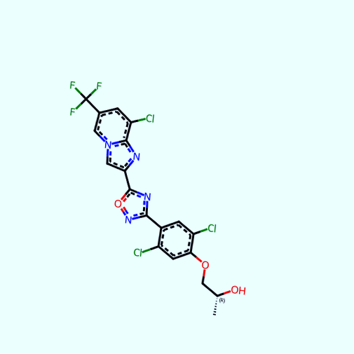 C[C@@H](O)COc1cc(Cl)c(-c2noc(-c3cn4cc(C(F)(F)F)cc(Cl)c4n3)n2)cc1Cl